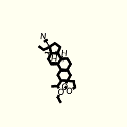 CCOC(C)C1CC2=C(CC[C@@H]3C2=CC[C@@]2(C)[C@H]3CC[C@@]2(C#N)CC)CC12CCOO2